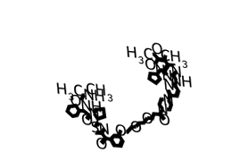 CN[C@@H](C)C(=O)N[C@H](C(=O)N1CCC[C@H]1c1nc(C(=O)c2cccc(OCCOCCOCCC(=O)N3CCN(c4ccc(Nc5ncc6c(C)c(C(C)=O)c(=O)n(C7CCCC7)c6n5)nc4)CC3)c2)cs1)C1CCCCC1